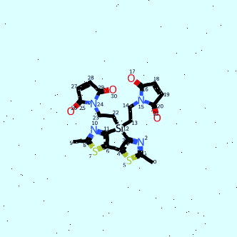 Cc1nc2c(s1)-c1sc(C)nc1[Si]2(CCN1C(=O)C=CC1=O)CCN1C(=O)C=CC1=O